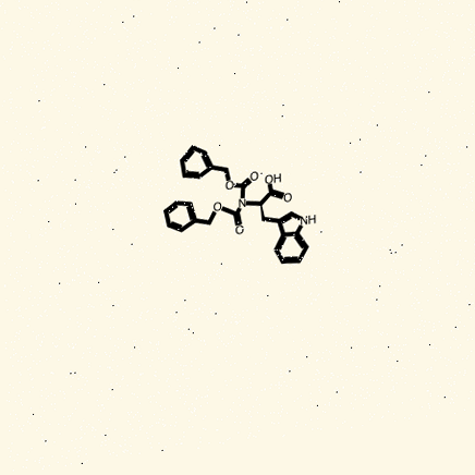 O=C(O)[C@@H](Cc1c[nH]c2ccccc12)N(C(=O)OCc1ccccc1)C(=O)OCc1ccccc1